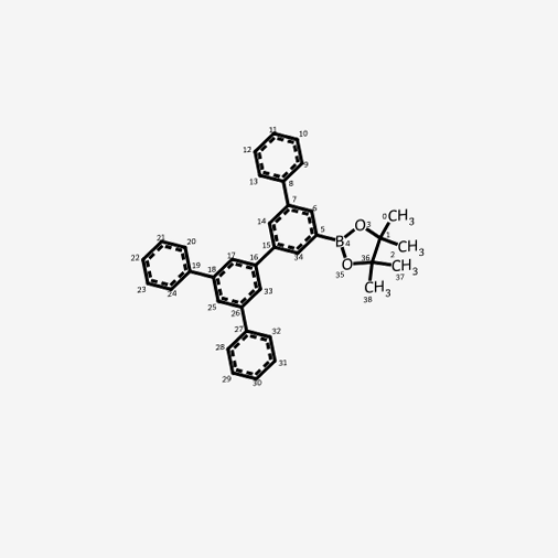 CC1(C)OB(c2cc(-c3ccccc3)cc(-c3cc(-c4ccccc4)cc(-c4ccccc4)c3)c2)OC1(C)C